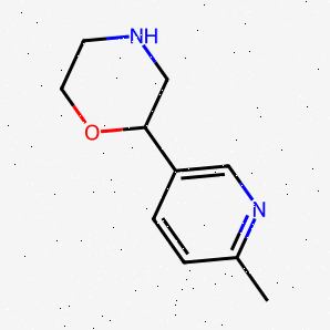 Cc1ccc(C2CNCCO2)cn1